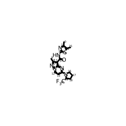 Cc1nc(NC(=O)c2c(C)nn3ccc(N4CCC[C@H]4C(F)(F)F)nc23)sc1C